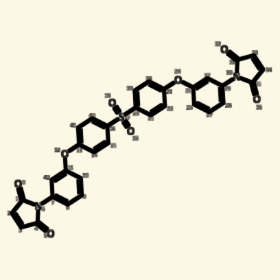 O=C1C=CC(=O)N1c1cccc(Oc2ccc(S(=O)(=O)c3ccc(Oc4cccc(N5C(=O)C=CC5=O)c4)cc3)cc2)c1